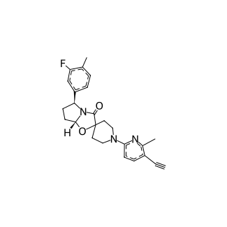 C#Cc1ccc(N2CCC3(CC2)O[C@@H]2CC[C@@H](c4ccc(C)c(F)c4)N2C3=O)nc1C